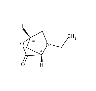 CCN1C[C@@H]2C[C@H]1C(=O)O2